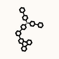 c1ccc(-c2ccc(N(c3ccc(-c4ccccc4)cc3)c3ccc(-c4cccc(-c5ccc6c7ccccc7c7ccccc7c6c5)c4)cc3)cc2)cc1